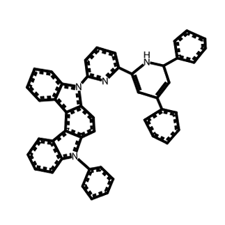 C1=C(c2ccccc2)C=C(c2cccc(-n3c4ccccc4c4c5c6ccccc6n(-c6ccccc6)c5ccc43)n2)NC1c1ccccc1